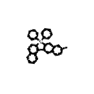 Cc1ccc2cc3c(cc2c1)[Si](c1ccccc1)(c1ccccc1)c1ccc2ccccc2c1-3